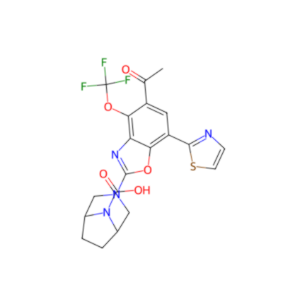 CC(=O)c1cc(-c2nccs2)c2oc(N3CC4CCC(C3)N4C(=O)O)nc2c1OC(F)(F)F